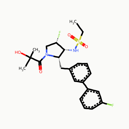 CCS(=O)(=O)N[C@H]1[C@@H](F)CN(C(=O)C(C)(C)O)[C@H]1Cc1cccc(-c2cccc(F)c2)c1